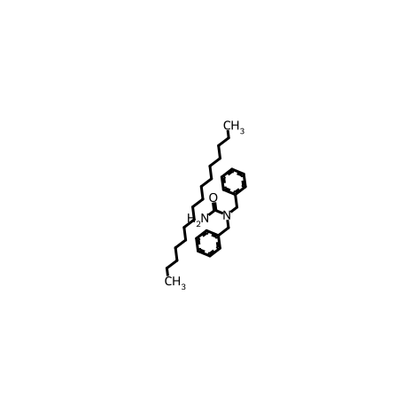 CCCCCCCCCCCCCCCC.NC(=O)N(Cc1ccccc1)Cc1ccccc1